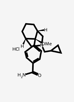 CO[C@]1(c2ccc(C(N)=O)cc2)[C@@H]2CCC[C@H]1CN(CC1CC1)C2.Cl